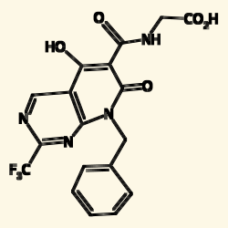 O=C(O)CNC(=O)c1c(O)c2cnc(C(F)(F)F)nc2n(Cc2ccccc2)c1=O